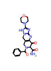 NC(=O)C1C(=O)C2=C(CN3NC(N4CCOCC4)=NC3=N2)CN1C(=O)c1ccccc1